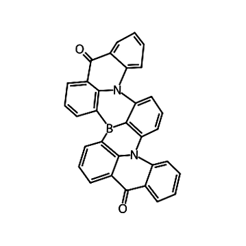 O=c1c2ccccc2n2c3c(cccc13)B1c3c-2cccc3-n2c3ccccc3c(=O)c3cccc1c32